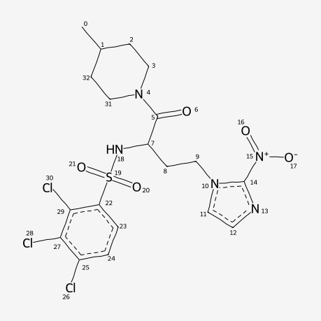 CC1CCN(C(=O)C(CCn2ccnc2[N+](=O)[O-])NS(=O)(=O)c2ccc(Cl)c(Cl)c2Cl)CC1